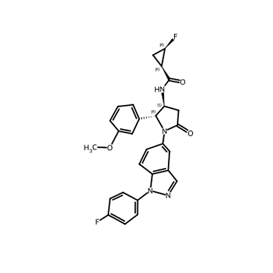 COc1cccc([C@@H]2[C@@H](NC(=O)[C@H]3C[C@H]3F)CC(=O)N2c2ccc3c(cnn3-c3ccc(F)cc3)c2)c1